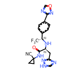 N#CC1(NC(=O)[C@H](Cc2nc[nH]n2)N[C@@H](c2ccc(-c3ncon3)cc2)C(F)(F)F)CC1